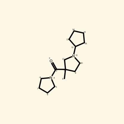 CC1(C(=O)N2CCCC2)CCN(C2CCCC2)C1